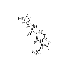 Cc1ccc2cnc(C(=O)NC3CC4CC3CN4)cn12